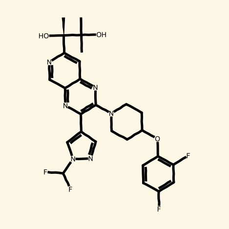 CC(C)(O)[C@@](C)(O)c1cc2nc(N3CCC(Oc4ccc(F)cc4F)CC3)c(-c3cnn(C(F)F)c3)nc2cn1